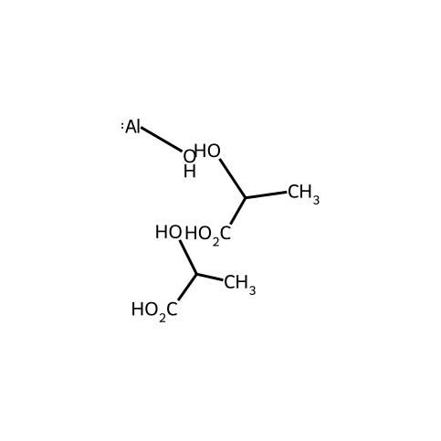 CC(O)C(=O)O.CC(O)C(=O)O.[OH][Al]